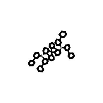 c1ccc(-c2cccc(N(c3cccc(-c4ccccc4)c3)c3cccc4c3-c3ccccc3C43c4ccccc4-c4c(N(c5cccc(-c6ccccc6)c5)c5cccc(-c6ccccc6)c5)cccc43)c2)cc1